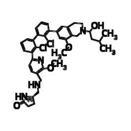 COc1cc(-c2cccc(-c3cccc(-c4ccc(CNC[C@H]5CCC(=O)N5)c(OC)n4)c3Cl)c2Cl)cc2c1CN(C(O)CC(C)C)CC2